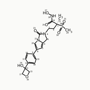 C[C@](CCN1Cc2cc(-c3ccc(C4(O)COC4)cc3)cn2C1=O)(C(=O)NO)S(C)(=O)=O